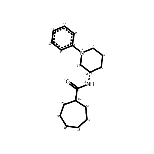 O=C(N[C@H]1CCCN(c2ccccc2)C1)C1CCCCCC1